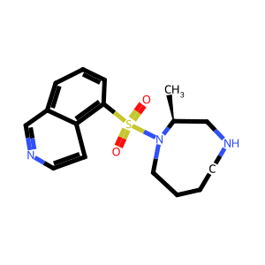 C[C@H]1CNCCCCN1S(=O)(=O)c1cccc2cnccc12